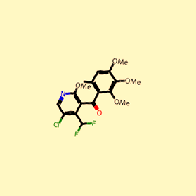 COc1cc(C)c(C(=O)c2c(OC)ncc(Cl)c2C(F)F)c(OC)c1OC